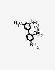 Cc1cc(N)cc(-c2ccc(N)cc2C)c1.O=PO